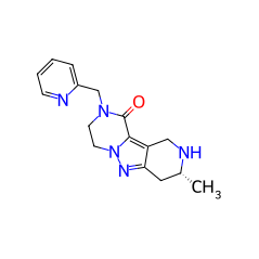 C[C@@H]1Cc2nn3c(c2CN1)C(=O)N(Cc1ccccn1)CC3